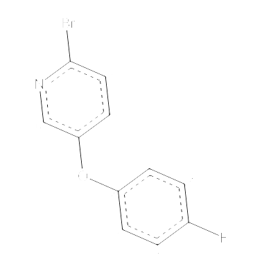 Fc1ccc(Oc2ccc(Br)nc2)cc1